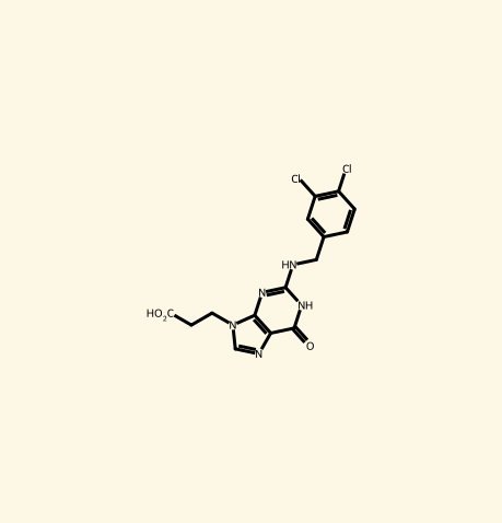 O=C(O)CCn1cnc2c(=O)[nH]c(NCc3ccc(Cl)c(Cl)c3)nc21